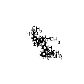 CCCCc1nn(-c2cc(NC(=O)CC)ccc2C(F)(F)F)c(=O)n1Cc1ccc(-c2ccccc2S(=O)(=O)NC(C)(C)C)cc1